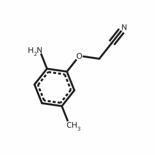 Cc1ccc(N)c(OCC#N)c1